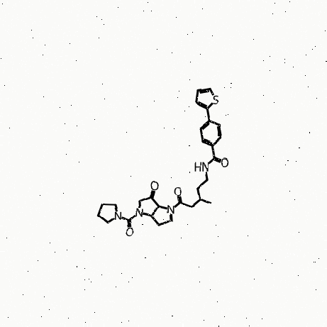 CC(CCNC(=O)c1ccc(-c2cccs2)cc1)CC(=O)N1CCC2C1C(=O)CN2C(=O)N1CCCC1